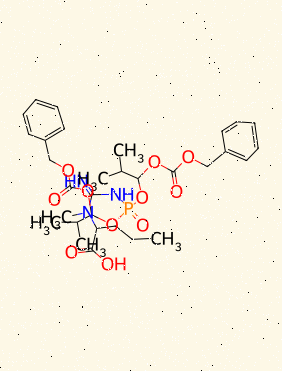 CCCC(C(=O)O)N(C)C(=N)NP(=O)(OC(OC(=O)OCc1ccccc1)C(C)C)OC(OC(=O)OCc1ccccc1)C(C)C